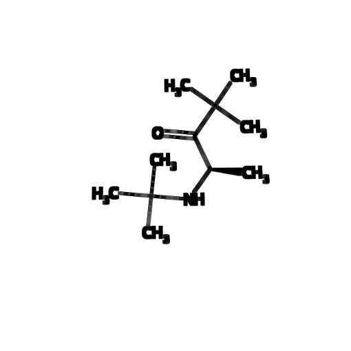 C[C@@H](NC(C)(C)C)C(=O)C(C)(C)C